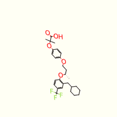 C[C@@H](CCOc1ccc(OC(C)(C)C(=O)O)cc1)Oc1ccc(C(F)(F)F)cc1CC1CCCCC1